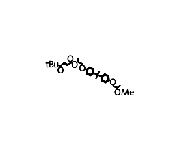 COC(C)COc1ccc(C(C)(C)c2ccc(OCC(C)OC(=O)/C=C/C(=O)C(C)(C)C)cc2)cc1